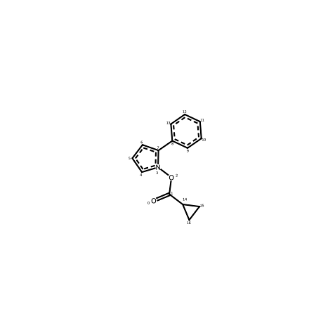 O=C(On1cccc1-c1ccccc1)C1CC1